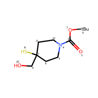 CC(C)(C)OC(=O)N1CCC(S)(CO)CC1